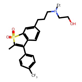 CCN(CCO)CCCc1ccc2c(c1)S(=O)(=O)C(C)=C2c1ccc(C(F)(F)F)cc1